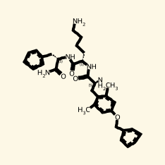 Cc1cc(OCc2ccccc2)cc(C)c1C[C@H](N)C(=O)N[C@@H](CCCCN)C(=O)N[C@@H](Cc1ccccc1)C(N)=O